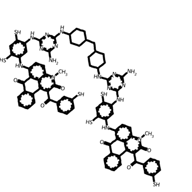 Cn1c(=O)c(C(=O)c2cccc(S)c2)c2c3c(c(Nc4cc(Nc5nc(N)nc(NC6CCC(CC7CCC(Nc8nc(N)nc(Nc9cc(Nc%10ccc%11c%12c%10C(=O)c%10ccccc%10-c%12c(C(=O)c%10cccc(S)c%10)c(=O)n%11C)c(S)cc9S)n8)CC7)CC6)n5)c(S)cc4S)ccc31)C(=O)c1ccccc1-2